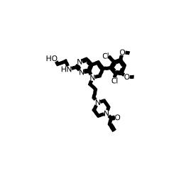 C=CC(=O)N1CCN(CCCN2CC(c3c(Cl)c(OC)cc(OC)c3Cl)=Cc3cnc(NCCO)nc32)CC1